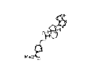 COC(=O)c1ccc(CCC(=O)N2CCC[C@@H]3[C@H]2CCN3c2ncnc3[nH]ccc23)cc1